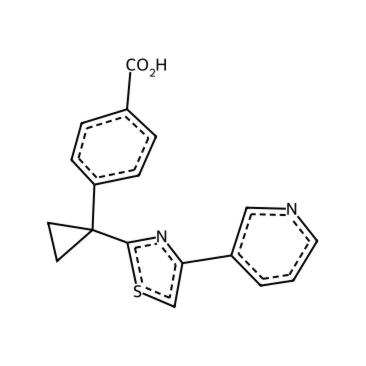 O=C(O)c1ccc(C2(c3nc(-c4cccnc4)cs3)CC2)cc1